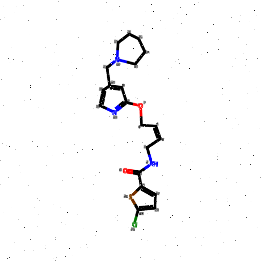 O=C(NC/C=C\COc1cc(CN2CCCCC2)ccn1)c1ccc(Cl)s1